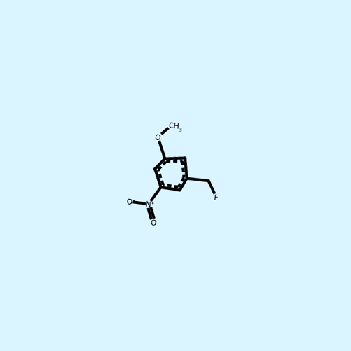 COc1cc(CF)cc([N+](=O)[O-])c1